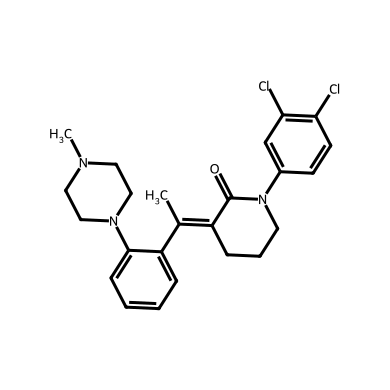 CC(=C1CCCN(c2ccc(Cl)c(Cl)c2)C1=O)c1ccccc1N1CCN(C)CC1